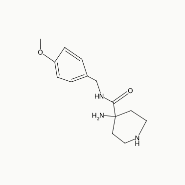 COc1ccc(CNC(=O)C2(N)CCNCC2)cc1